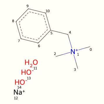 C[N+](C)(C)Cc1ccccc1.O.[Na+].[OH-].[OH-]